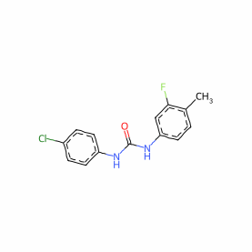 Cc1ccc(NC(=O)Nc2ccc(Cl)cc2)cc1F